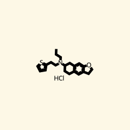 CCCN(CCc1cccs1)C1CCc2cc3c(cc2C1)OCC3.Cl